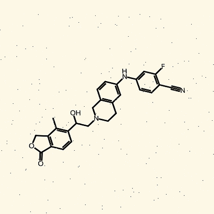 Cc1c(C(O)CN2CCc3cc(Nc4ccc(C#N)c(F)c4)ccc3C2)ccc2c1COC2=O